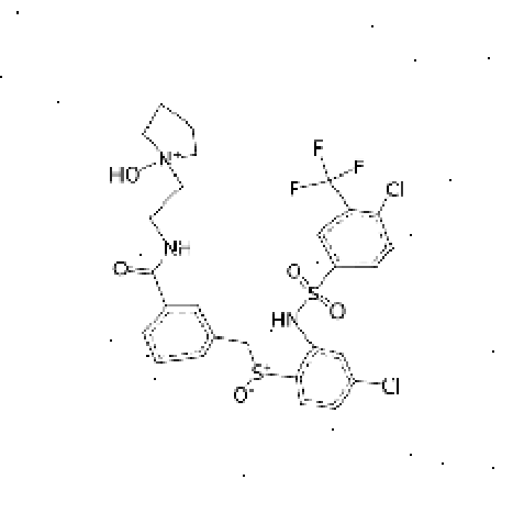 O=C(NCC[N+]1(O)CCCC1)c1cccc(C[S+]([O-])c2ccc(Cl)cc2NS(=O)(=O)c2ccc(Cl)c(C(F)(F)F)c2)c1